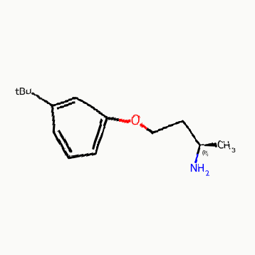 C[C@@H](N)CCOc1cccc(C(C)(C)C)c1